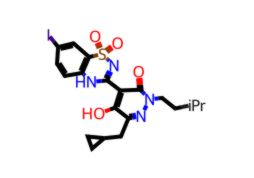 CC(C)CCn1nc(CC2CC2)c(O)c(C2=NS(=O)(=O)c3cc(I)ccc3N2)c1=O